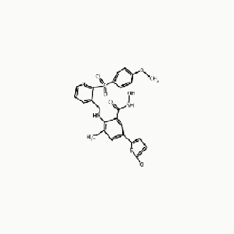 COc1ccc(S(=O)(=O)c2ncccc2CNc2c(C)cc(-c3ccc(Cl)s3)cc2C(=O)NO)cc1